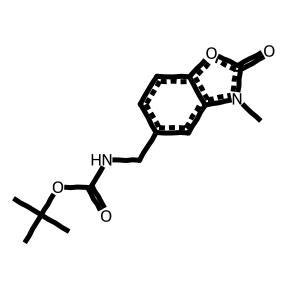 Cn1c(=O)oc2ccc(CNC(=O)OC(C)(C)C)cc21